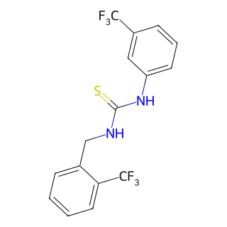 FC(F)(F)c1cccc(NC(=S)NCc2ccccc2C(F)(F)F)c1